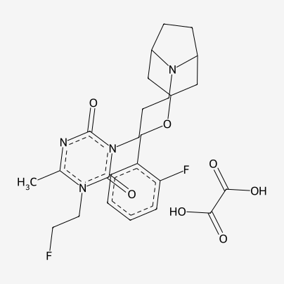 Cc1nc(=O)n(CCCN2C3CCC2CC(OCc2ccccc2F)C3)c(=O)n1CCF.O=C(O)C(=O)O